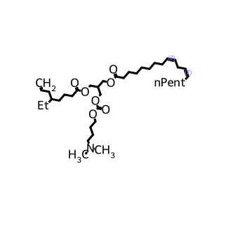 C=CCC(CC)CCCC(=O)OCC(COC(=O)CCCCCCC/C=C\C/C=C\CCCCC)COC(=O)OCCCCN(C)C